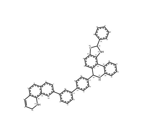 C1=Cc2ccc3ccc(-c4cccc(-c5ccc(C6Nc7ccccc7-c7c6ccc6c7NC(c7ccccc7)O6)cc5)c4)nc3c2NC1